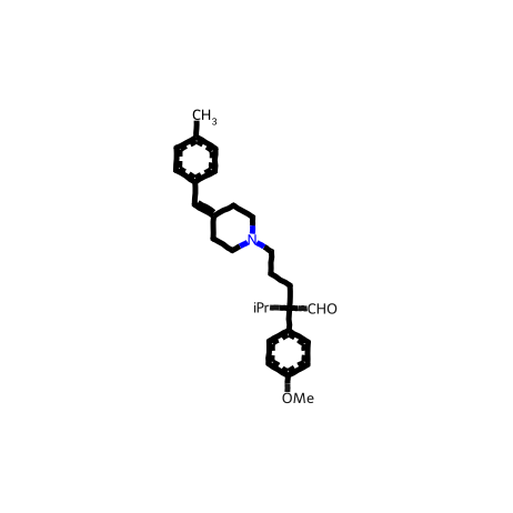 COc1ccc(C(C=O)(CCCN2CCC(=Cc3ccc(C)cc3)CC2)C(C)C)cc1